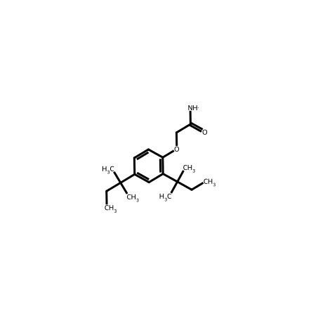 CCC(C)(C)c1ccc(OCC([NH])=O)c(C(C)(C)CC)c1